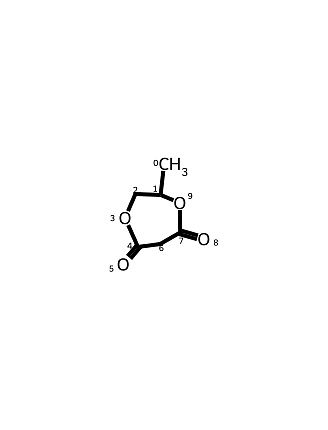 CC1COC(=O)CC(=O)O1